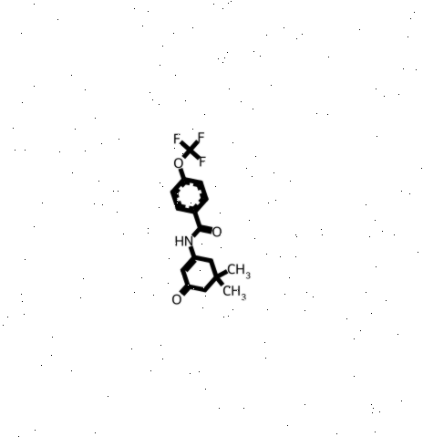 CC1(C)CC(=O)C=C(NC(=O)c2ccc(OC(F)(F)F)cc2)C1